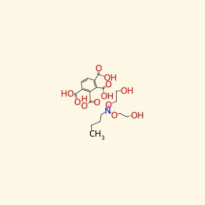 CCCCN(OCCO)OCCO.O=C(O)c1ccc(C(=O)O)c(C(=O)O)c1C(=O)O